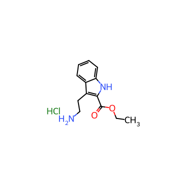 CCOC(=O)c1[nH]c2ccccc2c1CCN.Cl